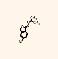 CC(C)O/N=C1\OCc2cc(Br)ccc21